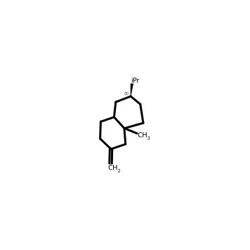 C=C1CCC2C[C@@H](C(C)C)CCC2(C)C1